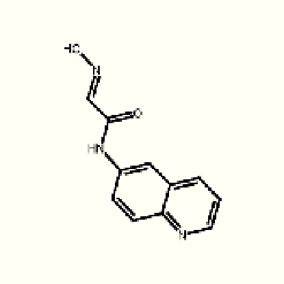 O=C(C=NO)Nc1ccc2ncccc2c1